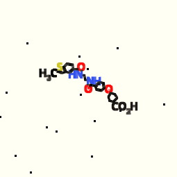 Cc1cc2cc(C(=O)NCCNC(=O)c3ccc(O[C@H]4CC[C@@H](C(=O)O)CC4)cc3)ccc2s1